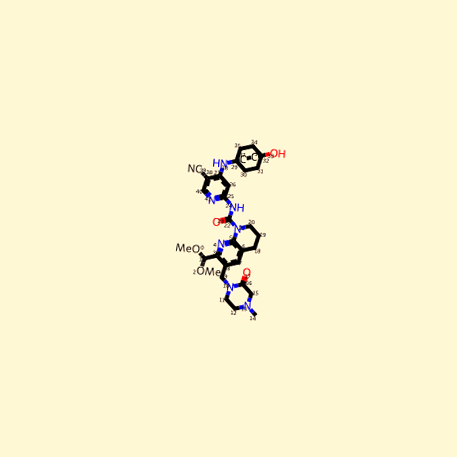 COC(OC)c1nc2c(cc1CN1CCN(C)CC1=O)CCCN2C(=O)Nc1cc(NC23CCC(O)(CC2)CC3)c(C#N)cn1